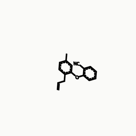 C=CCc1ccc(C)cc1Oc1ccccc1C#N